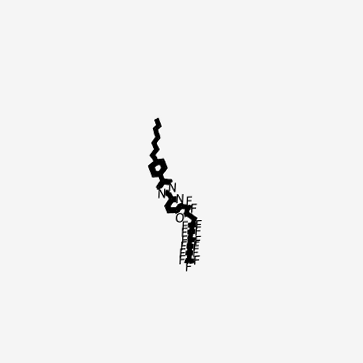 CCCCCCCc1ccc(-c2cnc(-c3ccc4c(n3)C(F)(F)C(CC(F)(F)C(F)(F)C(F)(F)C(F)(F)C(F)(F)C(F)(F)F)O4)nc2)cc1